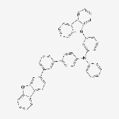 c1ccc(N(c2ccc(-c3cccc(-c4ccc5c(c4)oc4ccccc45)c3)cc2)c2cccc(-n3c4ccccc4c4ccccc43)c2)cc1